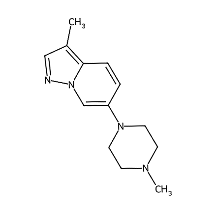 Cc1cnn2cc(N3CCN(C)CC3)ccc12